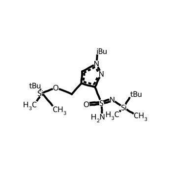 CCC(C)n1cc(CO[Si](C)(C)C(C)(C)C)c(S(N)(=O)=N[Si](C)(C)C(C)(C)C)n1